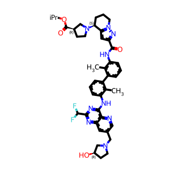 Cc1c(NC(=O)c2cc3n(n2)CCC[C@@H]3N2CC[C@@H](C(=O)OC(C)C)C2)cccc1-c1cccc(Nc2nc(C(F)F)nc3cc(CN4CC[C@@H](O)C4)cnc23)c1C